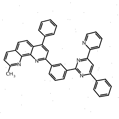 Cc1ccc2ccc3c(-c4ccccc4)cc(-c4cccc(-c5nc(-c6ccccc6)cc(-c6ccccn6)n5)c4)nc3c2n1